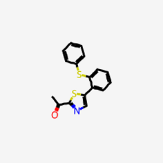 CC(=O)c1ncc(-c2ccccc2Sc2ccccc2)s1